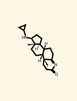 C[C@]12CCC(=O)N=C1CC[C@@H]1[C@H]2CC[C@]2(C)C(NC3CC3)CC[C@@H]12